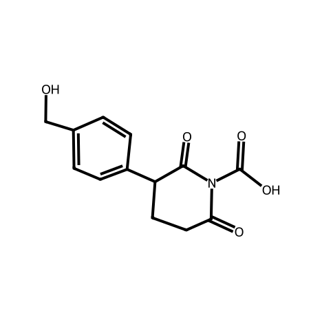 O=C(O)N1C(=O)CCC(c2ccc(CO)cc2)C1=O